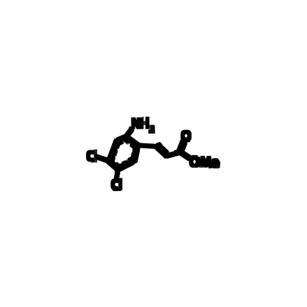 COC(=O)C=Cc1cc(Cl)c(Cl)cc1N